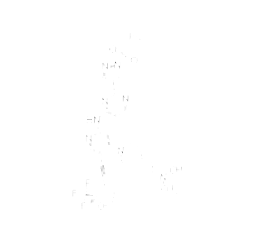 CN(C)CCC1CCN(c2cc(Nc3ccnc(-c4cnn(S(=O)(=O)C5CC5)c4)n3)ncc2C#CC2CCO[C@H]2C(F)(F)F)CC1